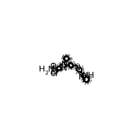 NS(=O)(=O)c1cc2c(cc1Cl)=NC(c1ccc(CN3CCC(c4nc5ccccc5[nH]4)CC3)cc1)N(c1ccccc1)C=2